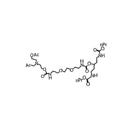 CCCOC(=O)NCCC(CCNC(=O)OCCC)OC(=O)NCCOCCOCCNC(=O)OCCN(CCOC(C)=O)CC(C)=O